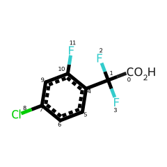 O=C(O)C(F)(F)c1ccc(Cl)cc1F